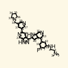 CN(C)CCNc1cc(F)cc(-c2cncc3[nH]c(-c4n[nH]c5cnc(-c6cncc(CN7CCCC7)c6)cc45)cc23)c1